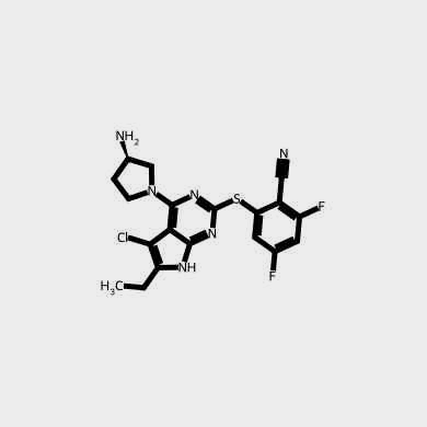 CCc1[nH]c2nc(Sc3cc(F)cc(F)c3C#N)nc(N3CC[C@@H](N)C3)c2c1Cl